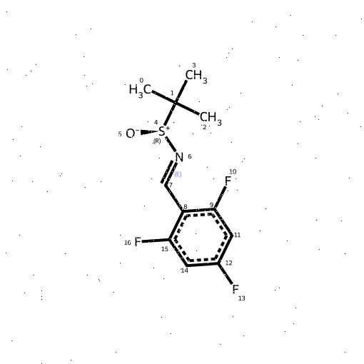 CC(C)(C)[S@+]([O-])/N=C/c1c(F)cc(F)cc1F